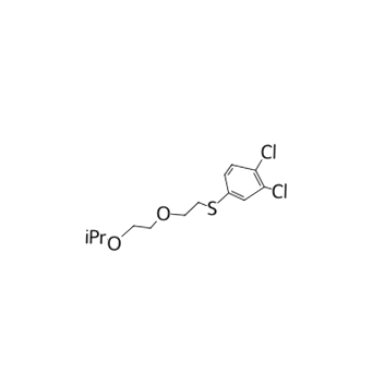 CC(C)OCCOCCSc1ccc(Cl)c(Cl)c1